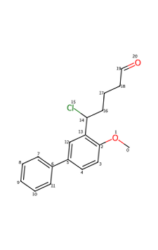 COc1ccc(-c2ccccc2)cc1C(Cl)CCCC=O